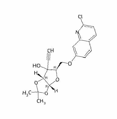 C#CC1(O)[C@@H](COc2ccc3ccc(Cl)nc3c2)O[C@@H]2OC(C)(C)O[C@@H]21